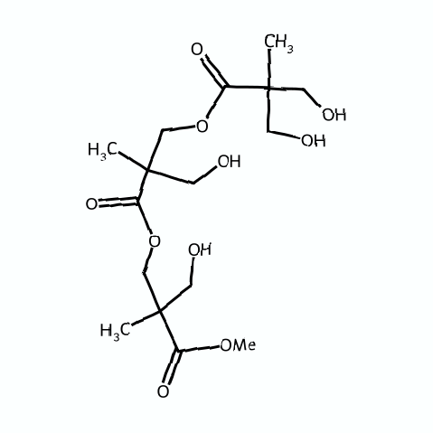 COC(=O)C(C)(CO)COC(=O)C(C)(CO)COC(=O)C(C)(CO)CO